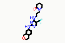 O=C1CCCCN1CCCNc1nc(Nc2ccc3c(c2)COCC3)ncc1C(F)(F)F